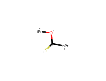 CCCC([S])OC(C)C